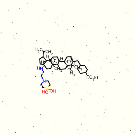 C=C(C)[C@@H]1CC[C@]2(NCCN3CCS(O)(O)CC3)CC[C@]3(C)[C@H](CC[C@@H]4[C@@]5(C)CC=C(CC6CCC(C(=O)OCC)CC6)C(C)(C)[C@@H]5CC[C@]43C)[C@@H]12